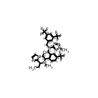 CCC(c1ncc[nH]1)N(C)C(CC)c1ccc(C(F)(F)F)cc1CN(Cc1cc(C(F)(F)F)cc(C(F)(F)F)c1)c1nnn(C)n1